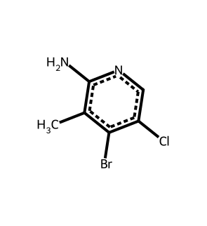 Cc1c(N)ncc(Cl)c1Br